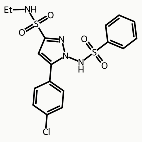 CCNS(=O)(=O)c1cc(-c2ccc(Cl)cc2)n(NS(=O)(=O)c2ccccc2)n1